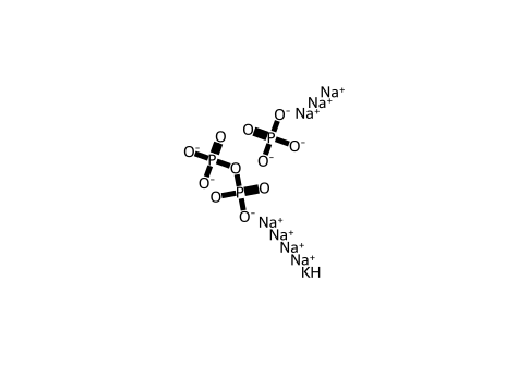 O=P([O-])([O-])OP(=O)([O-])[O-].O=P([O-])([O-])[O-].[KH].[Na+].[Na+].[Na+].[Na+].[Na+].[Na+].[Na+]